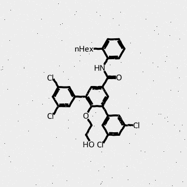 CCCCCCc1ccccc1NC(=O)c1cc(-c2cc(Cl)cc(Cl)c2)c(OCCO)c(-c2cc(Cl)cc(Cl)c2)c1